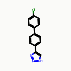 Clc1ccc(-c2ccc(-c3c[nH]nn3)cc2)cc1